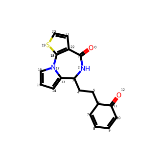 O=C1NC(CCC2C=CC=CC2=O)c2cccn2-c2sccc21